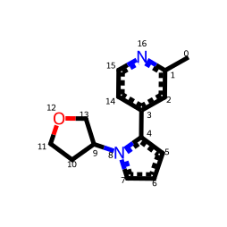 Cc1cc(-c2cccn2C2CCOC2)ccn1